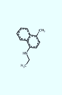 CCNc1ccc(C)c2ccccc12